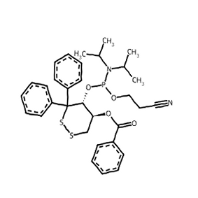 CC(C)N(C(C)C)P(OCCC#N)O[C@@H]1[C@@H](OC(=O)c2ccccc2)CSSC1(c1ccccc1)c1ccccc1